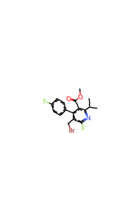 COC(=O)c1c(C(C)C)nc(F)c(CBr)c1-c1ccc(F)cc1